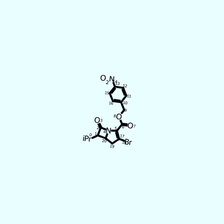 CC(C)C1C(=O)N2C(C(=O)OCc3ccc([N+](=O)[O-])cc3)=C(Br)CC12